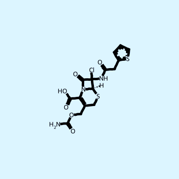 NC(=O)OCC1=C(C(=O)O)N2C(=O)C(Cl)(NC(=O)Cc3cccs3)[C@H]2SC1